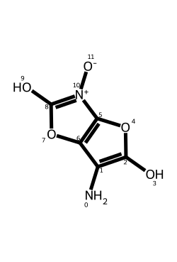 Nc1c(O)oc2c1oc(O)[n+]2[O-]